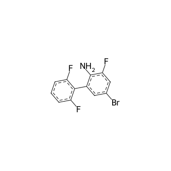 Nc1c(F)cc(Br)cc1-c1c(F)cccc1F